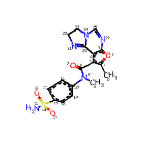 Cc1oc2c(c1C(=O)N(C)c1ccc(S(N)(=O)=O)cc1)C1=NCCN1C=N2